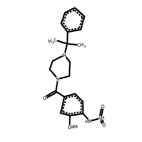 COc1cc(C(=O)N2CCN(C(C)(C)c3ccccc3)CC2)ccc1N[SH](=O)=O